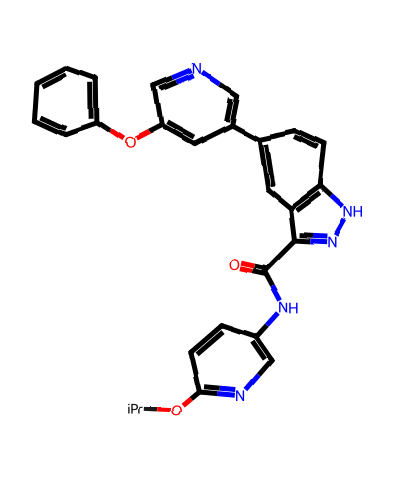 CC(C)Oc1ccc(NC(=O)c2n[nH]c3ccc(-c4cncc(Oc5ccccc5)c4)cc23)cn1